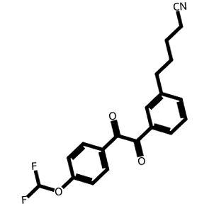 N#CCCCCc1cccc(C(=O)C(=O)c2ccc(OC(F)F)cc2)c1